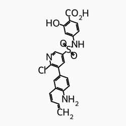 C=C/C=C\c1cc(-c2cc(S(=O)(=O)Nc3ccc(C(=O)O)c(O)c3)cnc2Cl)ccc1N